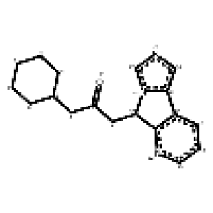 O=C(CC1CCCCC1)CC1c2ncccc2-c2cncn21